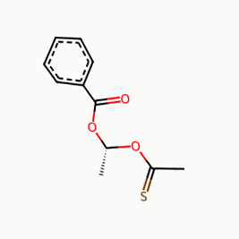 CC(=S)O[C@H](C)OC(=O)c1ccccc1